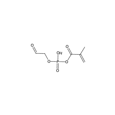 C=C(C)C(=O)OP(=O)(O)OCC=O